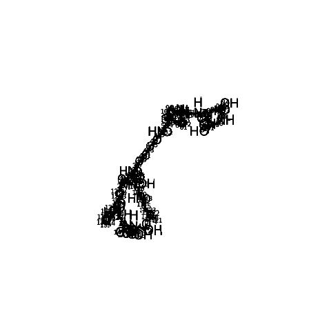 O=C(O)CCC(NC(=O)NC(CCCCNC(=O)C(CC(=O)C1CCC(CNC(=O)CCC(NC(=O)CCOCCOCCOCCOCCNC(=O)CCC(=O)N2Cc3ccccc3-c3c(nnn3CCCNC(=O)CN3CCN(CC(=O)O)CCNCCN(CC(=O)O)CC3)-c3ccccc32)C(=O)NC(CCCCNC(=O)CCCc2ccc(I)cc2)C(=O)O)CC1)Cc1ccc2ccccc2c1)C(=O)O)C(=O)O